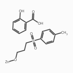 Cc1ccc(S(=O)(=O)CCC[O][Zn])cc1.O=C(O)c1ccccc1O